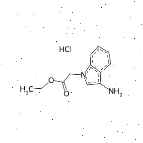 CCOC(=O)Cn1cc(N)c2ccccc21.Cl